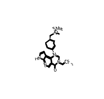 CSN(C)C[C@H]1CC[C@H](N2CN(CC(F)(F)F)C(=O)c3cnc4[nH]ccc4c32)CC1